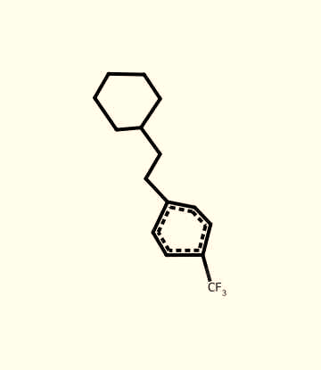 FC(F)(F)c1ccc(CCC2CCCCC2)cc1